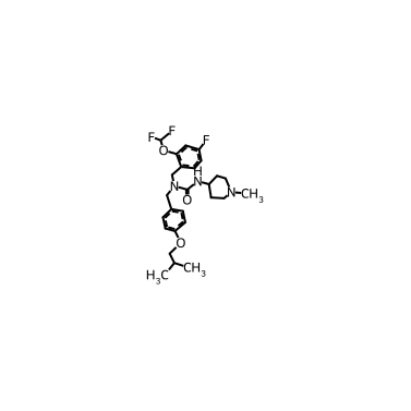 CC(C)COc1ccc(CN(Cc2ccc(F)cc2OC(F)F)C(=O)NC2CCN(C)CC2)cc1